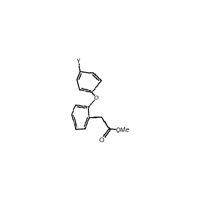 COC(=O)Cc1ccccc1Oc1cc[c]([Y])cc1